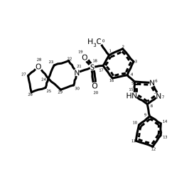 Cc1ccc(-c2nnc(-c3ccccc3)[nH]2)cc1S(=O)(=O)N1CCC2(CCCO2)CC1